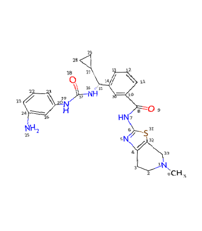 CN1CCc2nc(NC(=O)c3cccc([C@H](NC(=O)Nc4cccc(N)c4)C4CC4)c3)sc2C1